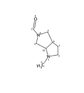 CN1CCC2CN(C=O)CC21